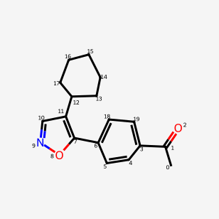 CC(=O)c1ccc(-c2oncc2C2CCCCC2)cc1